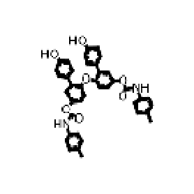 Cc1ccc(NC(=O)Oc2ccc(Oc3ccc(OC(=O)Nc4ccc(C)cc4)cc3-c3ccc(O)cc3)c(-c3ccc(O)cc3)c2)cc1